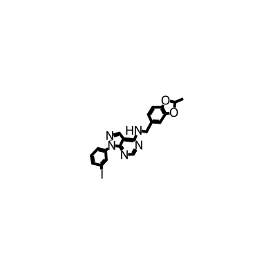 CC1Oc2ccc(CNc3ncnc4c3cnn4-c3cccc(I)c3)cc2O1